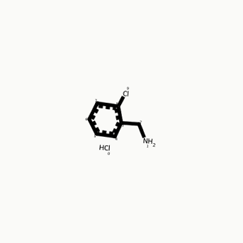 Cl.NCc1ccccc1Cl